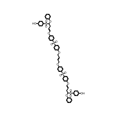 O=S(=O)(c1ccc(OC=CCC(Oc2ccccc2)S(=O)(=O)c2ccc(O)cc2)cc1)c1ccc(OCC=CCOc2ccc(S(=O)(=O)c3ccc(OC=CCC(Oc4ccccc4)S(=O)(=O)c4ccc(O)cc4)cc3)cc2)cc1